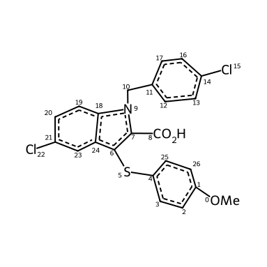 COc1ccc(Sc2c(C(=O)O)n(Cc3ccc(Cl)cc3)c3ccc(Cl)cc23)cc1